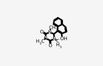 CN1C(=O)N(C)C(c2c(O)ccc3ccccc23)N(C)C1=O